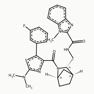 CN(C)c1nc(C(=O)N2[C@@H]3CC[C@@H](C3)[C@H]2CNC(=O)c2nc3ccccc3n2C)c(-c2cccc(F)c2)s1